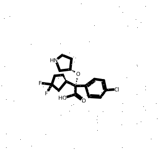 O=C(O)[C@](O[C@H]1CCNC1)(c1ccc(Cl)cc1)[C@@H]1CCC(F)(F)C1